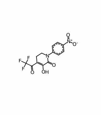 O=C1C(O)=C(C(=O)C(F)(F)F)CCN1c1ccc([N+](=O)[O-])cc1